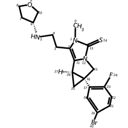 Cn1c(CCN[C@@H]2CCOC2)c2n(c1=S)C[C@@]1(c3cc(Br)ccc3F)C[C@@H]21